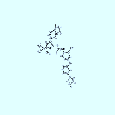 CC(C)(C)c1cc(NC(=O)Nc2ccc(Oc3ccnc(-c4cn[nH]c4)c3)cc2F)n(-c2ccc3[nH]cnc3c2)n1